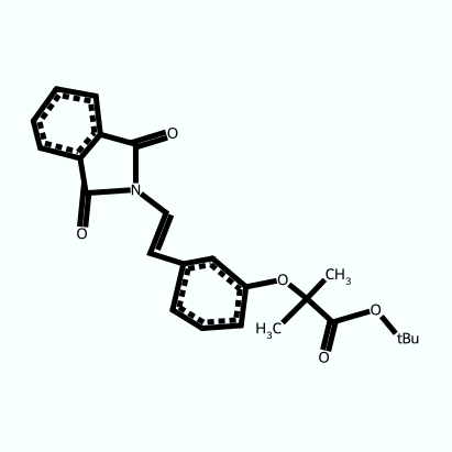 CC(C)(C)OC(=O)C(C)(C)Oc1cccc(C=CN2C(=O)c3ccccc3C2=O)c1